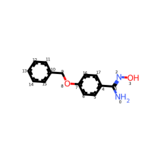 NC(=NO)c1ccc(OCc2ccccc2)cc1